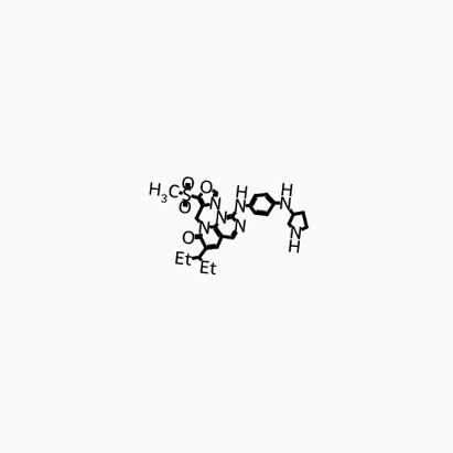 CCC(CC)c1cc2cnc(Nc3ccc(NC4CCNC4)cc3)nc2n(Cc2ncoc2S(C)(=O)=O)c1=O